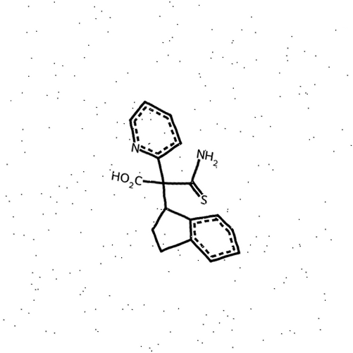 NC(=S)C(C(=O)O)(c1ccccn1)C1CCc2ccccc21